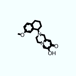 COc1ccc2c(c1)C(N1CCn3cc(O)c(=O)cc3C1)CCC2